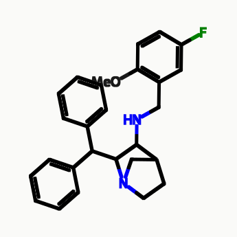 COc1ccc(F)cc1CNC1C2CCN(C2)C1C(c1ccccc1)c1ccccc1